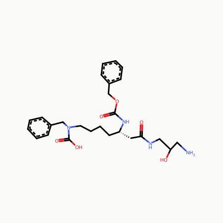 NCC(O)CNC(=O)C[C@H](CCCCN(Cc1ccccc1)C(=O)O)NC(=O)OCc1ccccc1